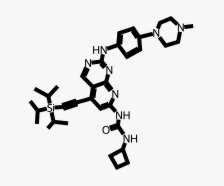 CC(C)[Si](C#Cc1cc(NC(=O)NC2CCC2)nc2nc(Nc3ccc(N4CCN(C)CC4)cc3)ncc12)(C(C)C)C(C)C